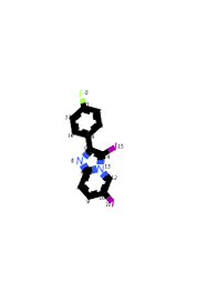 Fc1ccc(-c2nc3ccc(I)cn3c2I)cc1